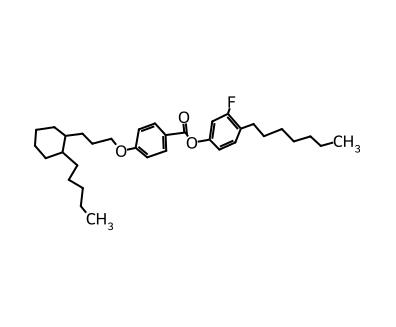 CCCCCCCc1ccc(OC(=O)c2ccc(OCCCC3CCCCC3CCCCC)cc2)cc1F